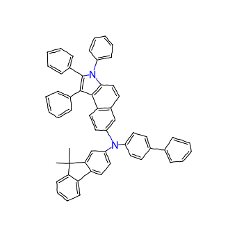 CC1(C)c2ccccc2-c2ccc(N(c3ccc(-c4ccccc4)cc3)c3ccc4c(ccc5c4c(-c4ccccc4)c(-c4ccccc4)n5-c4ccccc4)c3)cc21